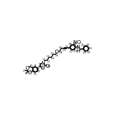 CC1(C)OCc2cc([C@@H]3CN(CCCCCCOCCC#Cc4ccc(NCc5ccccc5)c([N+](=O)[O-])c4)C(=O)O3)ccc2O1